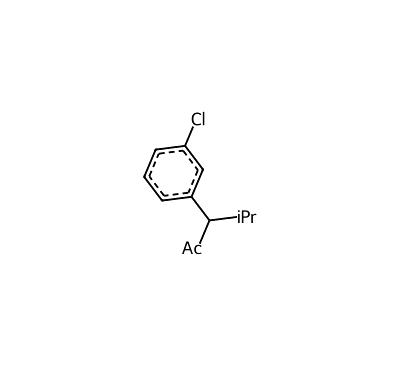 CC(=O)C(c1cccc(Cl)c1)C(C)C